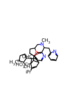 CC(C)C1=CC2CC(C=O)([C@@H]3CC[C@@H](C)C3C)C1(C(=O)O)C2C1CCC(CN(C)C(Cc2ccccn2)c2ccccn2)O1